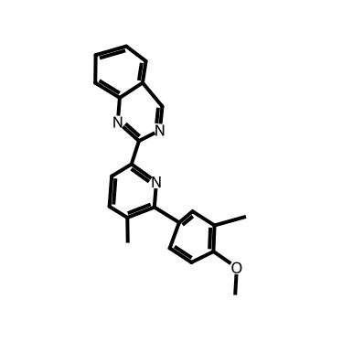 COc1ccc(-c2nc(-c3ncc4ccccc4n3)ccc2C)cc1C